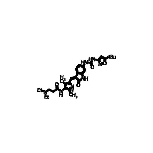 CCN(CC)CCC(=O)Nc1c(C)[nH]c(C=C2C(=O)Nc3cc(NC(=O)Nc4cc(C(C)(C)C)on4)ccc32)c1C